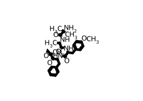 COc1ccc(CC(NC(=O)C(C)NC(=O)C(C)(C)N)C(=O)NC(Cc2ccccc2)C(=O)C2(C)CO2)cc1